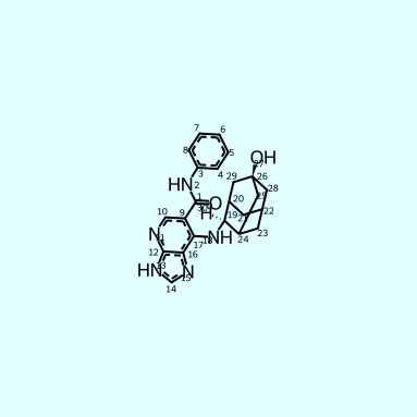 O=C(Nc1ccccc1)c1cnc2[nH]cnc2c1N[C@H]1C2CC3CC1C[C@@](O)(C3)C2